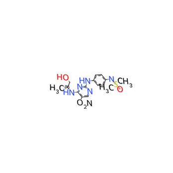 C[C@H](CO)Nc1nc(Nc2ccc(N=S(C)(C)=O)cc2)ncc1[N+](=O)[O-]